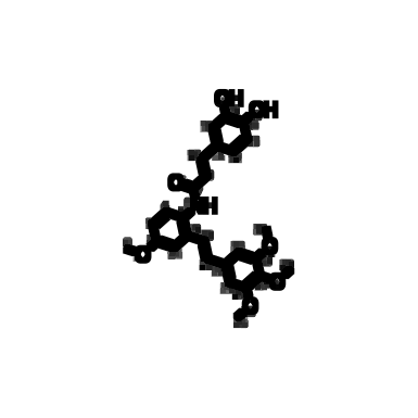 COc1ccc(NC(=O)/C=C/c2ccc(O)c(O)c2)c(/C=C/c2cc(OC)c(OC)c(OC)c2)c1